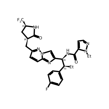 CC[C@@H](c1ccc(F)cc1)[C@H](NC(=O)c1ccnn1CC)c1cn2nc(C[C@H]3C[C@@H](C(F)(F)F)NC3=O)ccc2n1